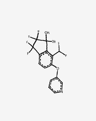 OC1(O)c2c(ccc(Oc3cccnc3)c2C(F)F)C(F)(F)C1(F)F